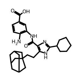 Nc1ccc(C(=O)O)cc1NC(=O)c1nc(C2CCCCC2)[nH]c1CCC12CC3CC(CC(C3)C1)C2